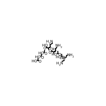 CC(=CCCN)C(=O)O.CC(=CCCN)C(=O)O.CC(=O)O.CC(=O)O.CC(=O)O.CC(=O)O.CC(=O)O.NCCNCCN